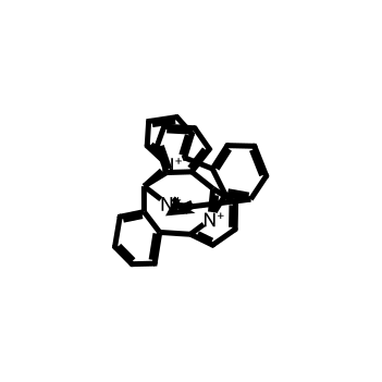 c1ccc2c(c1)-c1cccc3[n+]1-c1c4cccc1-c1cccc[n+]1C2(c1ccccc1-3)[n+]1ccccc1-4